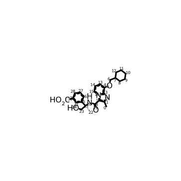 Cc1nc2c(OCC3CCCCC3)cccn2c1C(=O)N[C@@](C)(CO)c1cccc(C(=O)O)c1